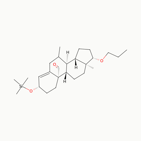 CCCO[C@H]1CC[C@H]2[C@@H]3C(C)CC4=C[C@@H](O[Si](C)(C)C)CC[C@]4(C=O)[C@H]3CC[C@]12C